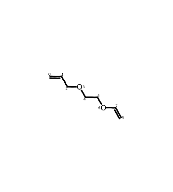 C=CCOCCOC=C